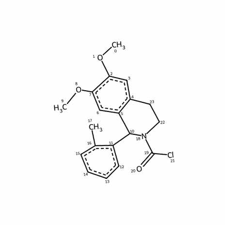 COc1cc2c(cc1OC)C(c1ccccc1C)N(C(=O)Cl)CC2